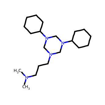 CN(C)CCCN1CN(C2CCCCC2)CN(C2CCCCC2)C1